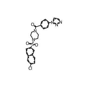 O=C(c1ccc(-n2ccnn2)cc1)N1CCN(S(=O)(=O)c2ccc3cc(Cl)ccc3c2)CC1